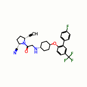 C#C[C@H]1CC[C@@H](C#N)N1C(=O)CN[C@H]1CC[C@H](Oc2ccc(C(F)(F)F)cc2-c2ccc(F)cc2)CC1